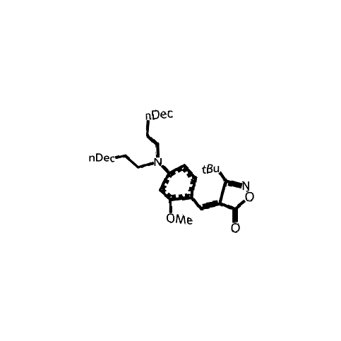 CCCCCCCCCCCCN(CCCCCCCCCCCC)c1ccc(C=C2C(=O)ON=C2C(C)(C)C)c(OC)c1